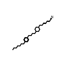 CCCCCCCc1ccc(CCCCC2CCC(CCC=CC=CC#N)CC2)cc1